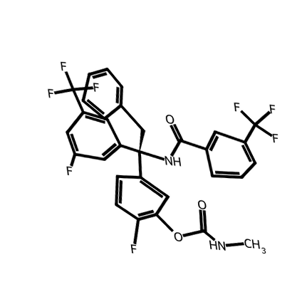 CNC(=O)Oc1cc([C@@](Cc2ccccc2)(NC(=O)c2cccc(C(F)(F)F)c2)c2cc(F)cc(C(F)(F)F)c2)ccc1F